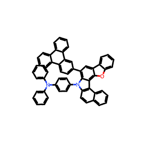 c1ccc(N(c2ccccc2)c2ccc(-n3c4ccc5ccccc5c4c4c5oc6ccccc6c5cc(-c5ccc6c7ccccc7c7ccccc7c6c5)c43)cc2)cc1